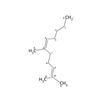 [CH2]CCCC=C(C)CCC=C(C)C